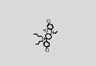 CCCCN(CCCC)C1(c2ccc(Cl)cc2)CCC(N(CC)c2ccc(Cl)cc2OC)CC1